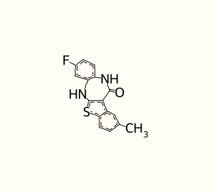 Cc1ccc2sc3c(c2c1)C(=O)Nc1ccc(F)cc1N3